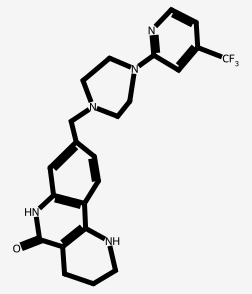 O=c1[nH]c2cc(CN3CCN(c4cc(C(F)(F)F)ccn4)CC3)ccc2c2c1CCCN2